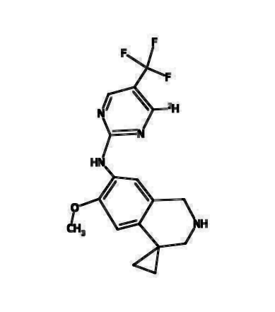 [2H]c1nc(Nc2cc3c(cc2OC)C2(CC2)CNC3)ncc1C(F)(F)F